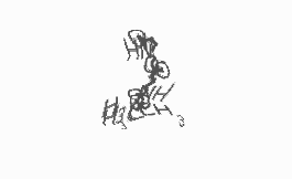 CC(C)(C)OC(=O)NCCCC(=O)OC[C@H]1CCC(=O)N1